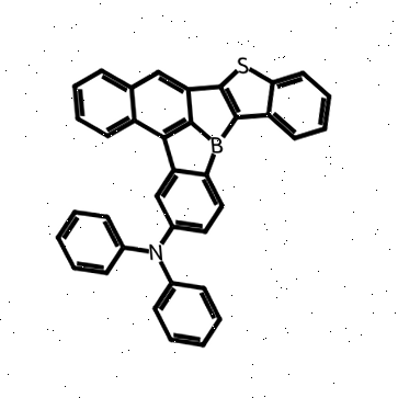 c1ccc(N(c2ccccc2)c2ccc3c(c2)-c2c4c(cc5ccccc25)-c2sc5ccccc5c2B34)cc1